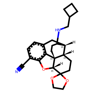 N#Cc1ccc2c3c1O[C@H]1C4(CC[C@H]5[C@@H](C2)C(NCC2CCC2)CC[C@@]351)OCCO4